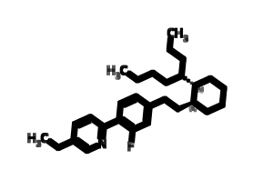 CCCCC(CCC)[C@@H]1CCCC[C@H]1CCc1ccc(-c2ccc(CC)cn2)c(F)c1